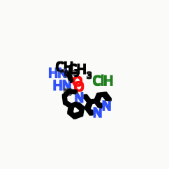 CN[C@@H](C)C(=O)N[C@H]1CCc2ccccc2N(Cc2ccnc3ncccc23)C1=O.Cl